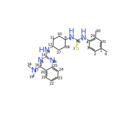 Cc1ccc(NC(=S)NC2CCC(Nc3nc(N(C)C)c4ccccc4n3)CC2)c(C)c1